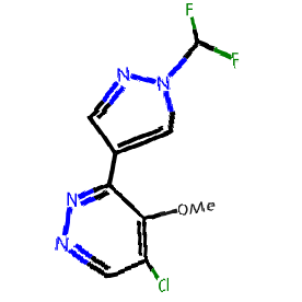 COc1c(Cl)cnnc1-c1cnn(C(F)F)c1